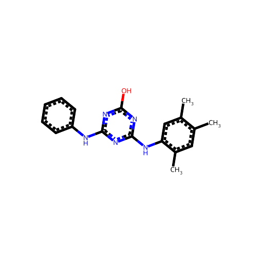 Cc1cc(C)c(Nc2nc(O)nc(Nc3ccccc3)n2)cc1C